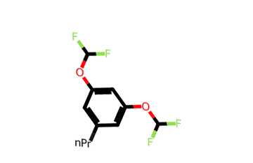 [CH2]CCc1cc(OC(F)F)cc(OC(F)F)c1